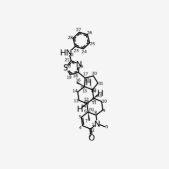 CN1C(=O)C=C[C@@]2(C)C1CC[C@@H]1[C@H]2CC[C@]2(C)C(c3csc(Nc4ccccc4)n3)CC[C@@H]12